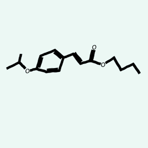 CCCCOC(=O)/C=C/c1ccc(OC(C)C)cc1